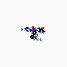 CCN1CCN(C[C@H]2CSc3c(-c4cccc5sc(N)nc45)c(Cl)cc4c(N5CCC(C(=O)C6CN6)CC5)nc(=O)n2c34)CC1